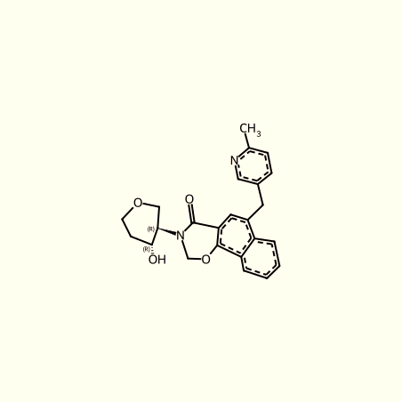 Cc1ccc(Cc2cc3c(c4ccccc24)OCN([C@@H]2COCC[C@H]2O)C3=O)cn1